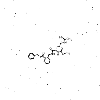 CC(=N)NCCC[C@H](NC(=O)OC(C)(C)C)C(=O)NCC1CCCCN1C(=O)OCc1ccccc1